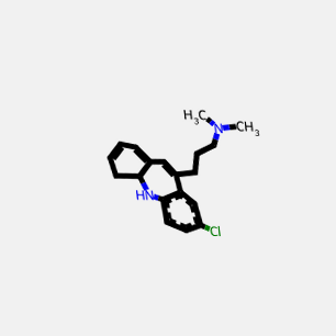 CN(C)CCCC1=CC2=CC=CCC2Nc2ccc(Cl)cc21